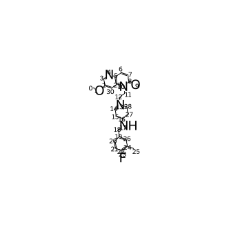 COc1cnc2ccc(=O)n(CCN3CCC(NCc4ccc(F)c(C)c4)CC3)c2c1